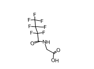 O=C(O)CNC(=O)C(F)(F)C(F)(F)C(F)(F)F